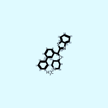 CN1CCC(OC(c2cccc(-c3ccccc3)c2)c2nc3ccccc3s2)CC1